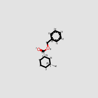 C[C@@H]1CCC[C@H](C(=O)OCc2ccccc2)C1